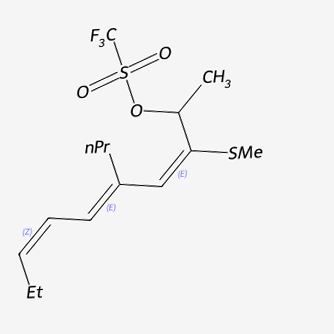 CC\C=C/C=C(/C=C(/SC)C(C)OS(=O)(=O)C(F)(F)F)CCC